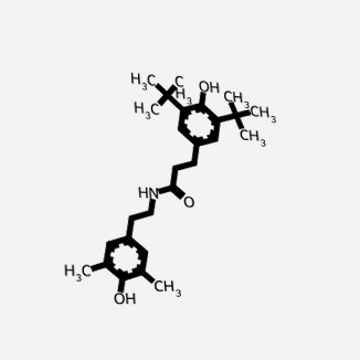 Cc1cc(CCNC(=O)CCc2cc(C(C)(C)C)c(O)c(C(C)(C)C)c2)cc(C)c1O